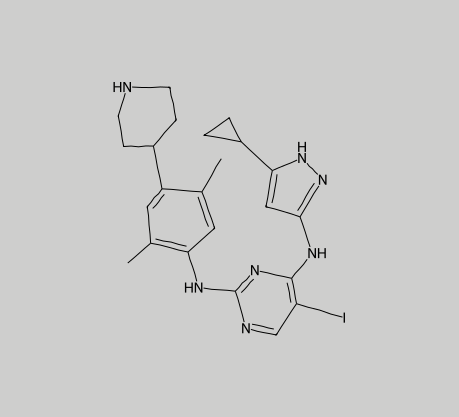 Cc1cc(C2CCNCC2)c(C)cc1Nc1ncc(I)c(Nc2cc(C3CC3)[nH]n2)n1